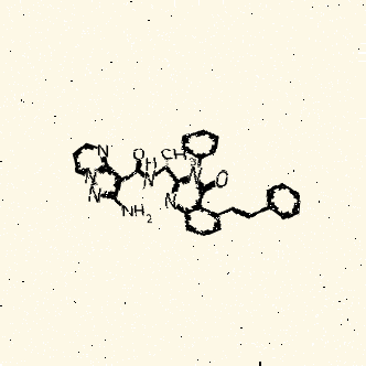 C[C@@H](NC(=O)c1c(N)nn2cccnc12)c1nc2cccc(/C=C/c3ccccc3)c2c(=O)n1-c1ccccc1